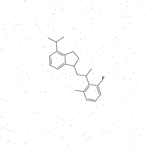 Cc1cccc(F)c1C(C)CC1CCc2c(C(C)C)cccc21